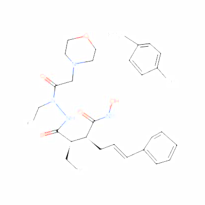 CC(C)C[C@@H](C(=O)NN(CC(C)C)C(=O)CN1CCOCC1)[C@H](CC=Cc1ccccc1)C(=O)NO.Cc1ccc(S(=O)(=O)O)cc1